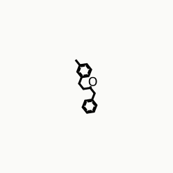 Cc1ccc2c(c1)CCC(Cc1ccccc1)O2